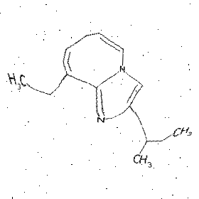 CCc1cccn2cc(C(C)C)nc12